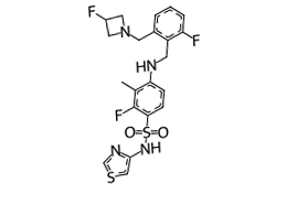 Cc1c(NCc2c(F)cccc2CN2CC(F)C2)ccc(S(=O)(=O)Nc2cscn2)c1F